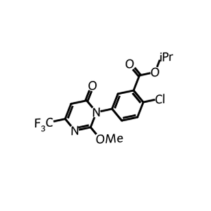 COc1nc(C(F)(F)F)cc(=O)n1-c1ccc(Cl)c(C(=O)OC(C)C)c1